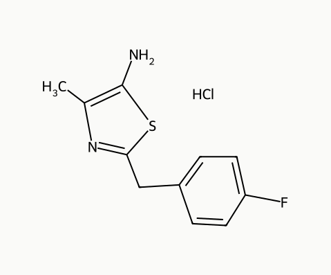 Cc1nc(Cc2ccc(F)cc2)sc1N.Cl